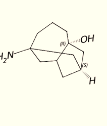 NC12CCC[C@@]3(O)C[C@@H](CC3C1)C2